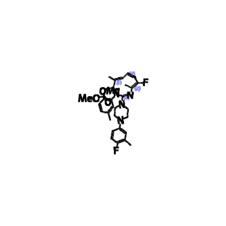 COC(=O)CC1/C(C)=C/C=C\C(F)=C(C)\N=C(\N2CCN(c3ccc(F)c(C)c3)CC2)N1c1cc(C)ccc1OC